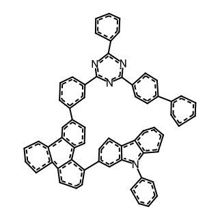 c1ccc(-c2ccc(-c3nc(-c4ccccc4)nc(-c4cccc(-c5ccc6c(c5)c5ccccc5c5cccc(-c7ccc8c9ccccc9n(-c9ccccc9)c8c7)c56)c4)n3)cc2)cc1